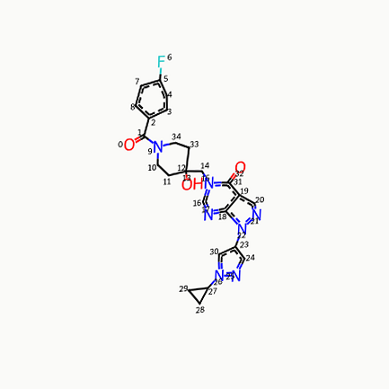 O=C(c1ccc(F)cc1)N1CCC(O)(Cn2cnc3c(cnn3-c3cnn(C4CC4)c3)c2=O)CC1